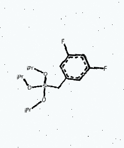 CC(C)O[Si](Cc1cc(F)cc(F)c1)(OC(C)C)OC(C)C